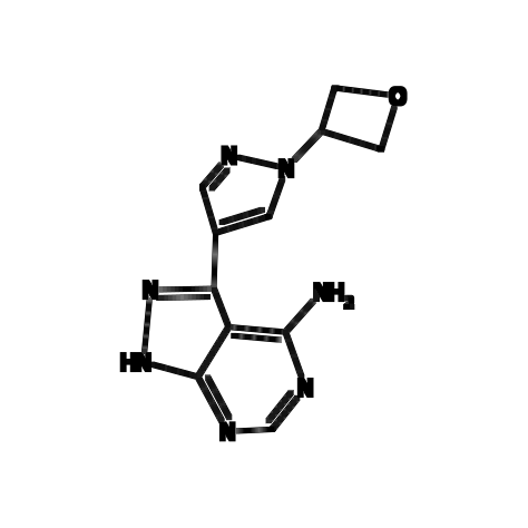 Nc1ncnc2[nH]nc(-c3cnn(C4COC4)c3)c12